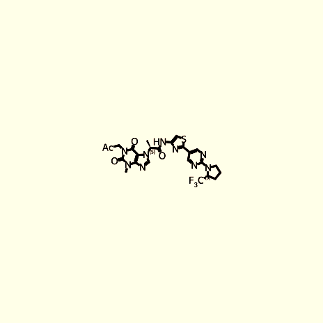 CC(=O)Cn1c(=O)c2c(ncn2[C@@H](C)C(=O)Nc2csc(-c3cnc(N4CCC[C@H]4C(F)(F)F)nc3)n2)n(C)c1=O